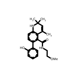 COCCNC(=O)c1c(-c2ccccc2O)ccc2c1C(C)=CC(C)(C)N2